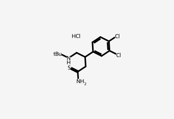 CC(C)(C)NCC(CC(N)=S)c1ccc(Cl)c(Cl)c1.Cl